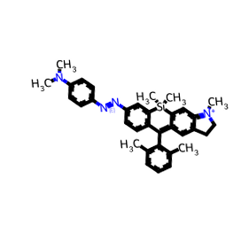 Cc1cccc(C)c1C1=c2cc3c(cc2[Si](C)(C)c2cc(/N=N/c4ccc(N(C)C)cc4)ccc21)=[N+](C)CC3